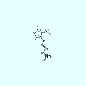 C/N=C1/N(C)CCN1C/C=C/CN(C)C